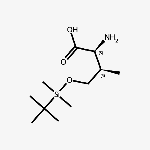 C[C@@H](CO[Si](C)(C)C(C)(C)C)[C@H](N)C(=O)O